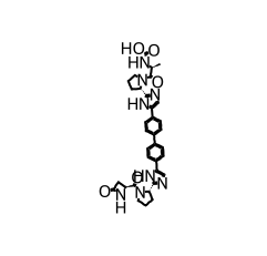 C[C@H](NC(=O)O)C(=O)N1CCC[C@H]1c1ncc(-c2ccc(-c3ccc(-c4cnc([C@@H]5CCCN5C(=O)[C@@H]5CC(=O)N5)[nH]4)cc3)cc2)[nH]1